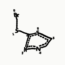 BrSc1nncs1